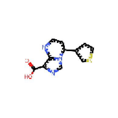 O=C(O)c1ncn2c(-c3ccsc3)ccnc12